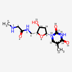 CNCC(=O)NC[C@H]1O[C@@H](n2cc(C)c(=O)[nH]c2=O)C[C@@H]1O